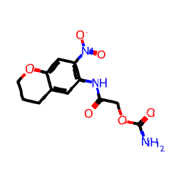 NC(=O)OCC(=O)Nc1cc2c(cc1[N+](=O)[O-])OCCC2